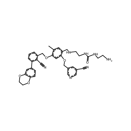 Cc1cc(CNCCNC(=O)NCCN)c(OCc2cncc(C#N)c2)cc1OCc1cccc(-c2ccc3c(c2)OCCO3)c1C#N